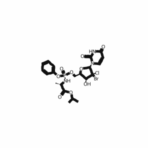 CC(C)OC(=O)[C@H](C)N[P@](=O)(OC[C@H]1O[C@@H](n2ccc(=O)[nH]c2=O)[C@@](Cl)(Br)[C@@H]1O)Oc1ccccc1